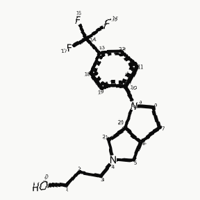 OCCCN1CC2CCN(c3ccc(C(F)(F)F)cc3)C2C1